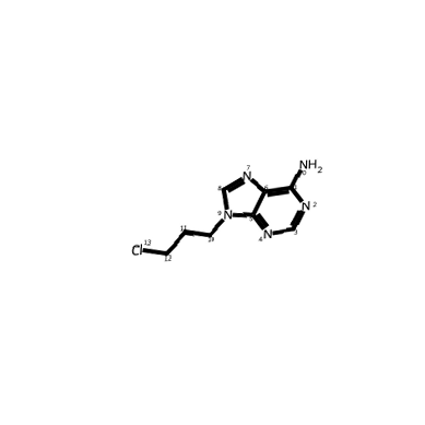 Nc1ncnc2c1ncn2CCCCl